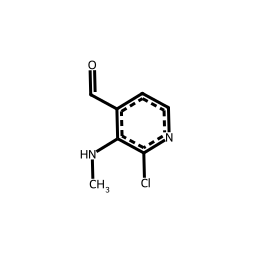 CNc1c(C=O)ccnc1Cl